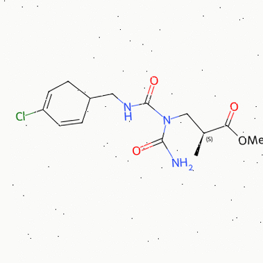 COC(=O)[C@@H](C)CN(C(N)=O)C(=O)NCC1C=CC(Cl)=CC1